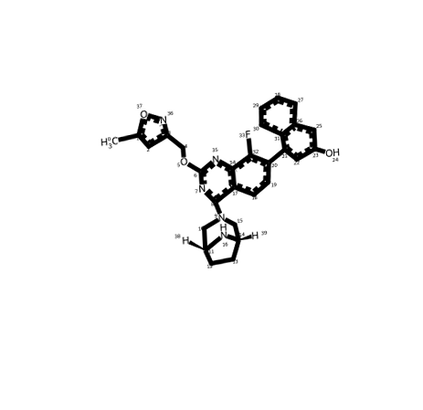 Cc1cc(COc2nc(N3C[C@H]4CC[C@@H](C3)N4)c3ccc(-c4cc(O)cc5ccccc45)c(F)c3n2)no1